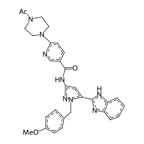 COc1ccc(Cn2nc(NC(=O)c3ccc(N4CCN(C(C)=O)CC4)nc3)cc2-c2nc3ccccc3[nH]2)cc1